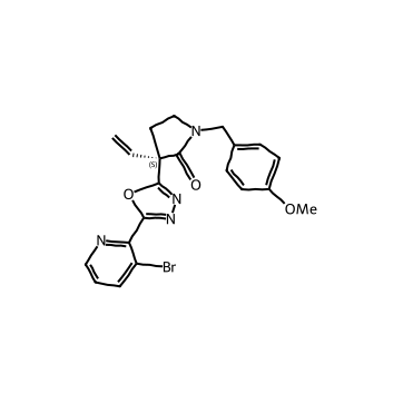 C=C[C@]1(c2nnc(-c3ncccc3Br)o2)CCN(Cc2ccc(OC)cc2)C1=O